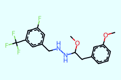 COc1cccc(CC(NNCc2cc(F)cc(C(F)(F)F)c2)OC)c1